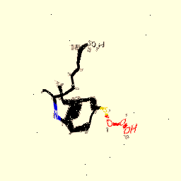 CC1=Nc2ccc(SOOO)cc2C1(C)CCCCS(=O)(=O)O